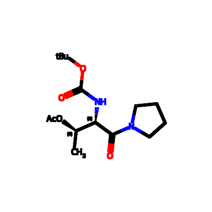 CC(=O)O[C@H](C)[C@H](NC(=O)OC(C)(C)C)C(=O)N1CCCC1